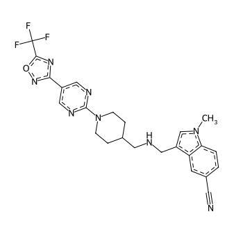 Cn1cc(CNCC2CCN(c3ncc(-c4noc(C(F)(F)F)n4)cn3)CC2)c2cc(C#N)ccc21